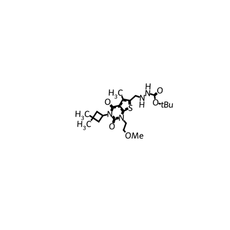 COCCn1c(=O)n(C2CC(C)(C)C2)c(=O)c2c(C)c(CNNC(=O)OC(C)(C)C)sc21